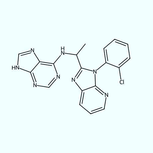 CC(Nc1ncnc2[nH]cnc12)c1nc2cccnc2n1-c1ccccc1Cl